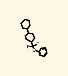 FC(F)(Oc1ccccc1)C1CCC(C2CCCCC2)CC1